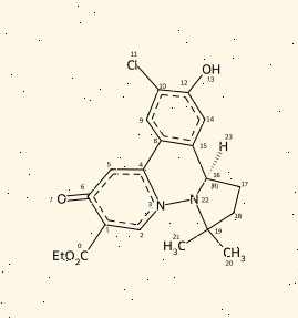 CCOC(=O)c1cn2c(cc1=O)-c1cc(Cl)c(O)cc1[C@H]1CCC(C)(C)N12